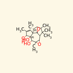 CC1=CC23C(=O)C(C4OC4(C)C(O)[C@]2(O)C1O)C(C)(C)C(C)C[C@H]3C